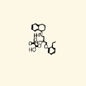 CCc1ccccc1OC[C@@H](O)CN[C@H]1CCCc2ccccc21.O=C(O)C(=O)O